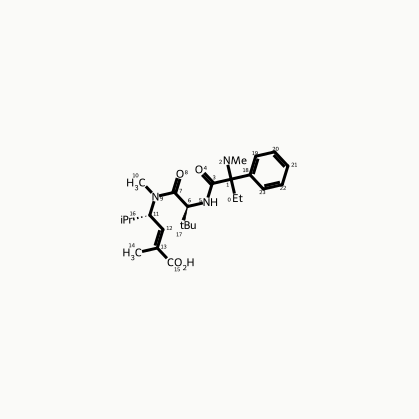 CCC(NC)(C(=O)N[C@H](C(=O)N(C)[C@H](/C=C(\C)C(=O)O)C(C)C)C(C)(C)C)c1ccccc1